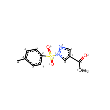 COC(=O)c1cnn(S(=O)(=O)c2ccc(C)cc2)c1